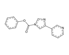 O=C(Oc1ccccc1)n1cnc(-c2cccnc2)c1